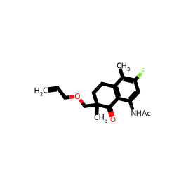 C=CCOCC1(C)CCc2c(C)c(F)cc(NC(C)=O)c2C1=O